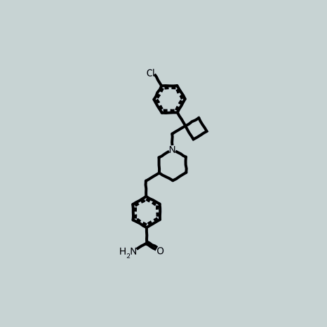 NC(=O)c1ccc(CC2CCCN(CC3(c4ccc(Cl)cc4)CCC3)C2)cc1